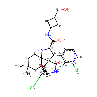 CC1(C)CCC2(CC1)N[C@@H](C(=O)NC1CC(CO)C1)[C@H](c1ccnc(Cl)c1F)[C@]21C(=O)Nc2cc(Cl)ccc21